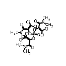 CN(C)C(=O)C(OP(=O)(OC(C(=O)N(C)C)=C(Cl)Cl)OC(C(=O)N(C)C)=C(Cl)Cl)=C(Cl)Cl